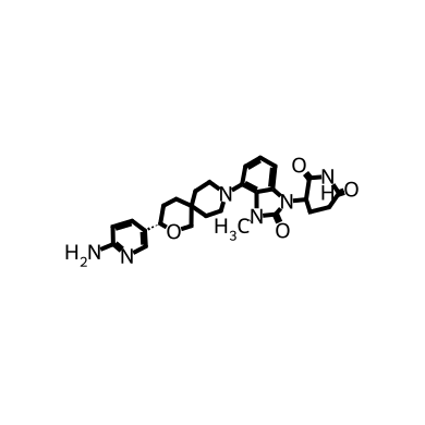 Cn1c(=O)n(C2CCC(=O)NC2=O)c2cccc(N3CCC4(CC[C@@H](c5ccc(N)nc5)OC4)CC3)c21